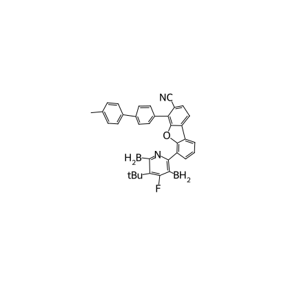 Bc1nc(-c2cccc3c2oc2c(-c4ccc(-c5ccc(C)cc5)cc4)c(C#N)ccc23)c(B)c(F)c1C(C)(C)C